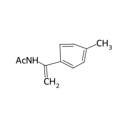 C=C(NC(C)=O)c1ccc(C)cc1